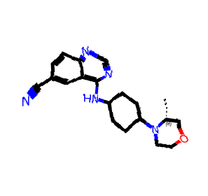 C[C@@H]1COCCN1C1CCC(Nc2ncnc3ccc(C#N)cc23)CC1